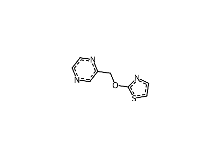 c1cnc(COc2nccs2)cn1